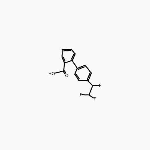 O=C(O)c1ccccc1-c1ccc(C(F)C(F)F)cc1